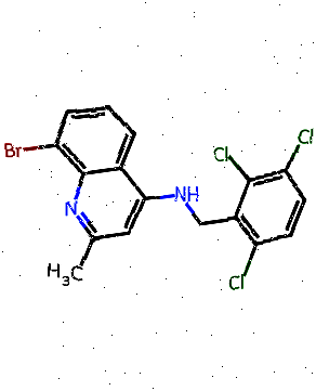 Cc1cc(NCc2c(Cl)ccc(Cl)c2Cl)c2cccc(Br)c2n1